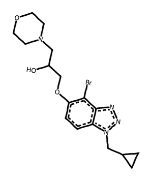 OC(COc1ccc2c(nnn2CC2CC2)c1Br)CN1CCOCC1